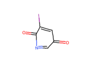 O=C1C=NC(=O)C(I)=C1